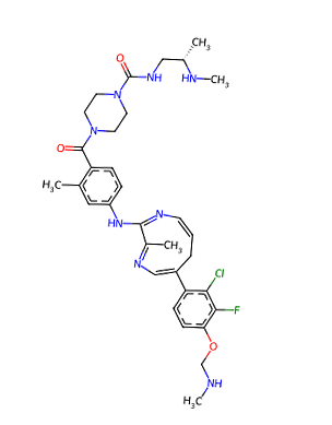 CNCOc1ccc(/C2=C/N=C(C)/C(Nc3ccc(C(=O)N4CCN(C(=O)NC[C@H](C)NC)CC4)c(C)c3)=N\C=C/C2)c(Cl)c1F